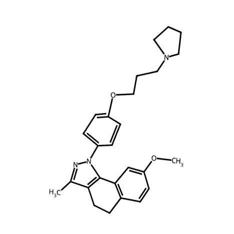 COc1ccc2c(c1)-c1c(c(C)nn1-c1ccc(OCCCN3CCCC3)cc1)CC2